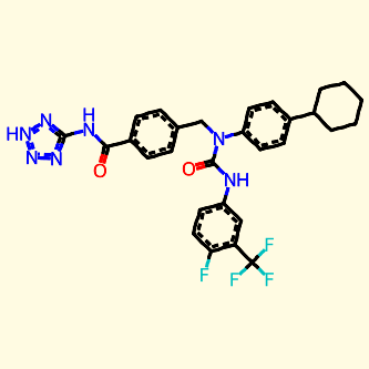 O=C(Nc1nn[nH]n1)c1ccc(CN(C(=O)Nc2ccc(F)c(C(F)(F)F)c2)c2ccc(C3CCCCC3)cc2)cc1